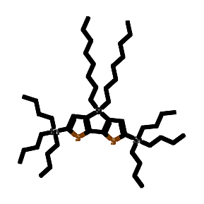 CCCCCCCC[Si]1(CCCCCCCC)c2c[c]([Sn]([CH2]CCC)([CH2]CCC)[CH2]CCC)sc2-c2s[c]([Sn]([CH2]CCC)([CH2]CCC)[CH2]CCC)cc21